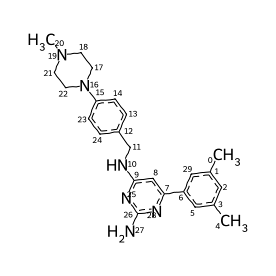 Cc1cc(C)cc(-c2cc(NCc3ccc(N4CCN(C)CC4)cc3)nc(N)n2)c1